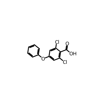 O=C(O)c1c(Cl)cc(Oc2ccccc2)cc1Cl